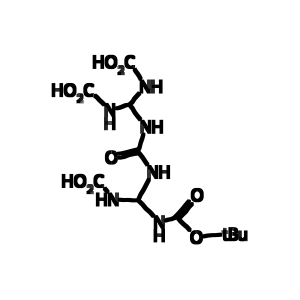 CC(C)(C)OC(=O)NC(NC(=O)O)NC(=O)NC(NC(=O)O)NC(=O)O